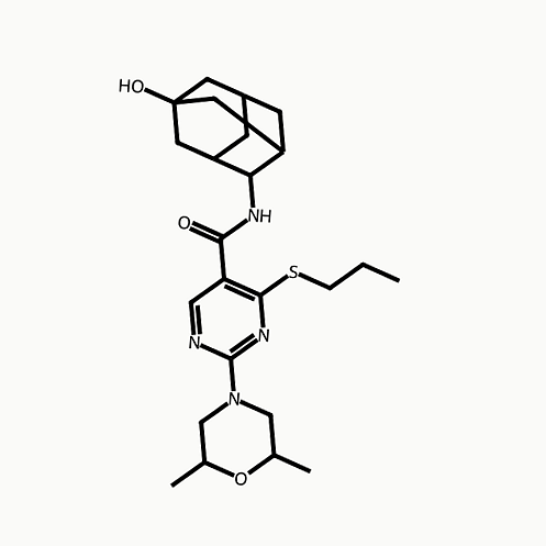 CCCSc1nc(N2CC(C)OC(C)C2)ncc1C(=O)NC1C2CC3CC1CC(O)(C3)C2